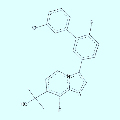 CC(C)(O)c1ccn2c(-c3ccc(F)c(-c4cccc(Cl)c4)c3)cnc2c1F